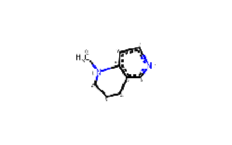 CN1CCCc2cnccc21